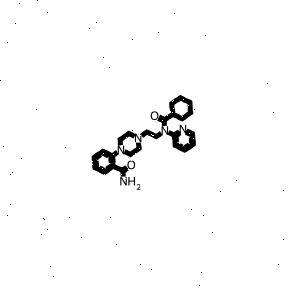 NC(=O)c1ccccc1N1CCN(CCN(C(=O)C2CCCCC2)c2ccccn2)CC1